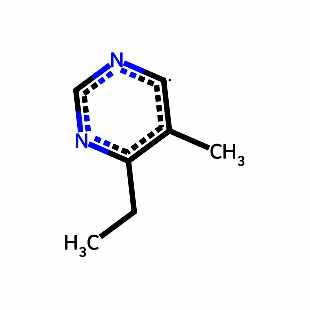 CCc1ncn[c]c1C